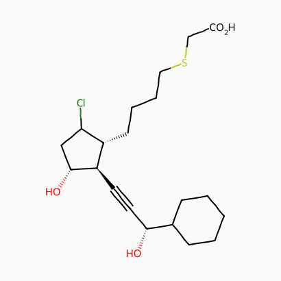 O=C(O)CSCCCC[C@H]1C(Cl)C[C@@H](O)[C@@H]1C#C[C@@H](O)C1CCCCC1